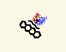 CCCCCC.N=C=O.N=C=O.N=C=O.N=C=O.c1ccc2cc3cc4ccccc4cc3cc2c1